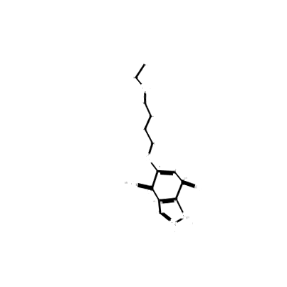 CCOCCCCSC1=CC(=O)c2[nH]ncc2C1=O